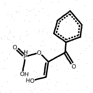 O=C(C(=CO)O[PH](=O)O)c1ccccc1